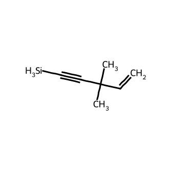 C=CC(C)(C)C#C[SiH3]